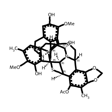 COc1cc2c(cc1O)CCN[C@]21CS[C@@H]2c3c(OC(C)=O)c(C)c4c(c3[C@@H](COC1=O)N1[C@@H]2[C@H]2c3c(cc(C)c(OC)c3O)C[C@@H]([C@@H]1O)N2C)OCO4